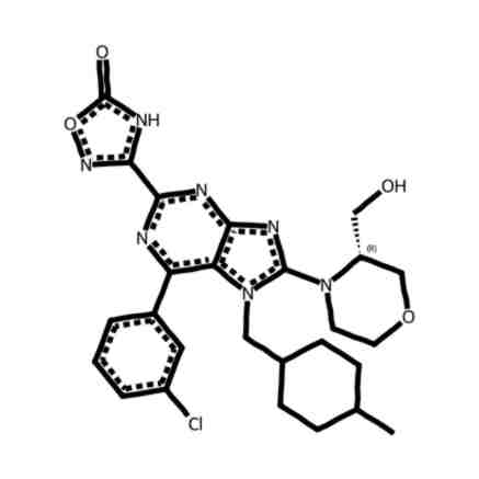 CC1CCC(Cn2c(N3CCOC[C@H]3CO)nc3nc(-c4noc(=O)[nH]4)nc(-c4cccc(Cl)c4)c32)CC1